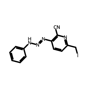 N#Cc1nc(CI)ccc1/N=N/Nc1ccccc1